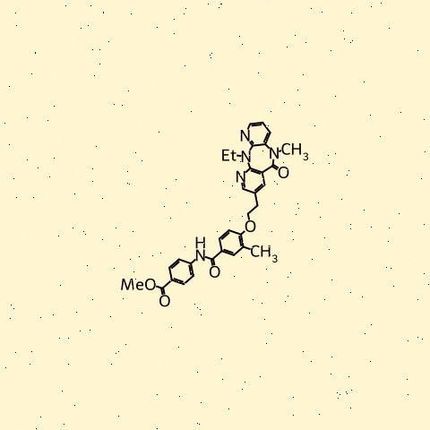 CCN1c2ncc(CCOc3ccc(C(=O)Nc4ccc(C(=O)OC)cc4)cc3C)cc2C(=O)N(C)c2cccnc21